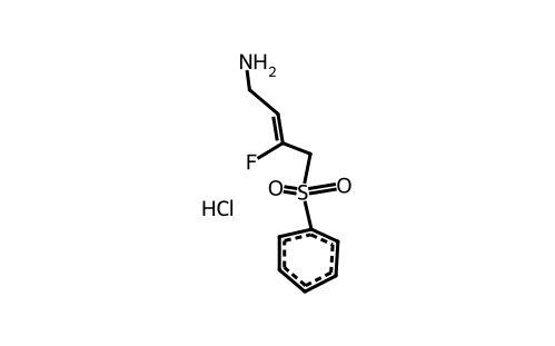 Cl.NCC=C(F)CS(=O)(=O)c1ccccc1